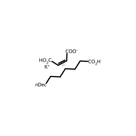 CCCCCCCCCCCCCCCC(=O)O.O=C([O-])/C=C\C(=O)O.[K+]